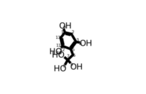 Oc1cc(O)c(CC(O)(O)O)c(O)c1